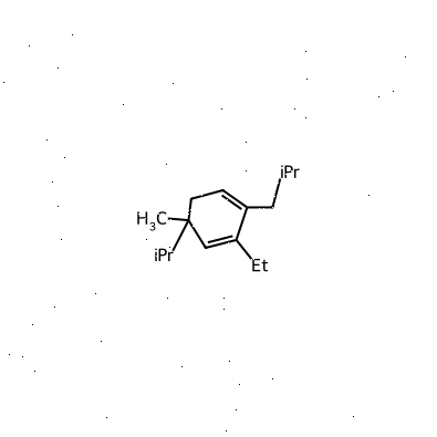 CCC1=CC(C)(C(C)C)CC=C1CC(C)C